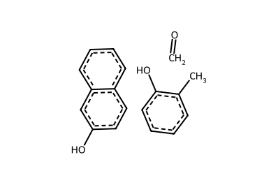 C=O.Cc1ccccc1O.Oc1ccc2ccccc2c1